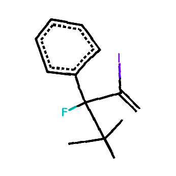 C=C(I)C(F)(c1ccccc1)C(C)(C)C